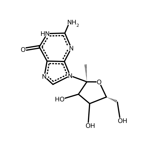 C[C@]1(n2cnc3c(=O)[nH]c(N)nc32)O[C@H](CO)C(O)C1O